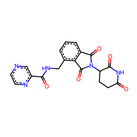 O=C1CCC(N2C(=O)c3cccc(CNC(=O)c4cnccn4)c3C2=O)C(=O)N1